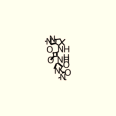 CN(C)C(=O)c1nccc(Nc2c(NC3c4cn(C)nc4CC3(C)C)c(=O)c2=O)c1O